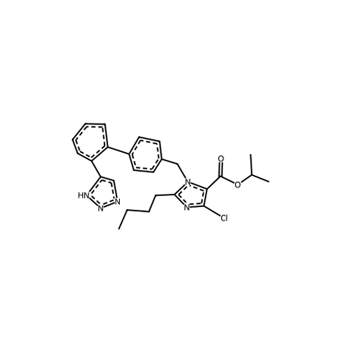 CCCCc1nc(Cl)c(C(=O)OC(C)C)n1Cc1ccc(-c2ccccc2-c2cnn[nH]2)cc1